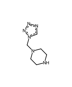 c1nnnn1CN1CCNCC1